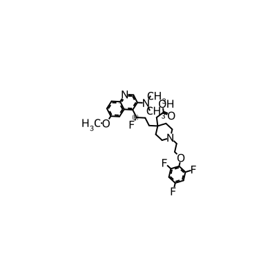 COc1ccc2ncc(N(C)C)c([C@H](F)CCC3(CC(=O)O)CCN(CCOc4c(F)cc(F)cc4F)CC3)c2c1